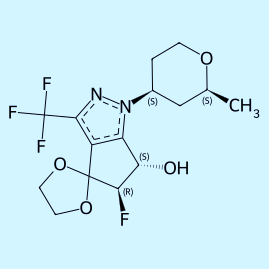 C[C@H]1C[C@@H](n2nc(C(F)(F)F)c3c2[C@H](O)[C@@H](F)C32OCCO2)CCO1